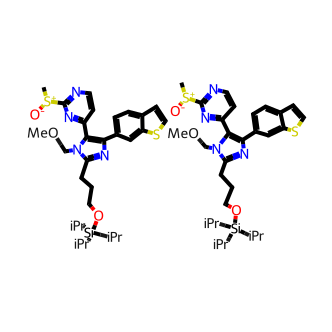 COCn1c(CCCO[Si](C(C)C)(C(C)C)C(C)C)nc(-c2ccc3ccsc3c2)c1-c1ccnc([S+](C)[O-])n1.COCn1c(CCCO[Si](C(C)C)(C(C)C)C(C)C)nc(-c2ccc3ccsc3c2)c1-c1ccnc([S+](C)[O-])n1